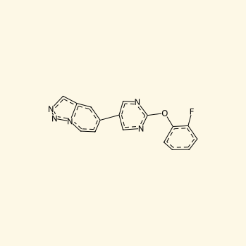 Fc1ccccc1Oc1ncc(-c2ccn3nncc3c2)cn1